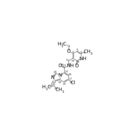 CCOc1cc(C)[nH]c(=O)c1CNC(=O)c1cc(Cl)cc2c(C(C)C)ncn12